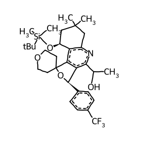 CC(O)c1nc2c(c3c1[C@@H](c1ccc(C(F)(F)F)cc1)OC31CCOCC1)[C@@H](O[Si](C)(C)C(C)(C)C)CC(C)(C)C2